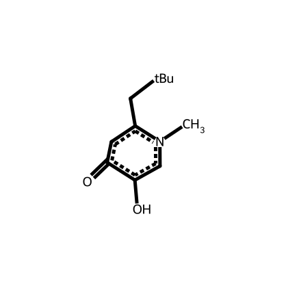 Cn1cc(O)c(=O)cc1CC(C)(C)C